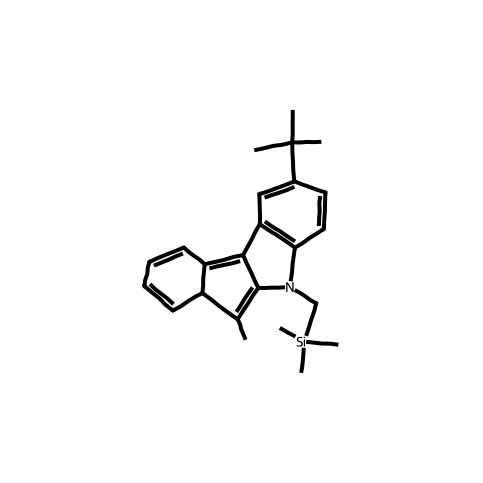 CC1=c2c(c3cc(C(C)(C)C)ccc3n2C[Si](C)(C)C)=C2C=CC=CC21